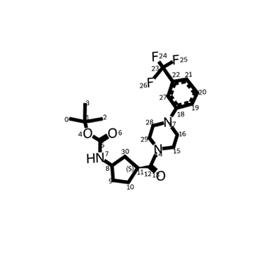 CC(C)(C)OC(=O)NC1CC[C@H](C(=O)N2CCN(c3cccc(C(F)(F)F)c3)CC2)C1